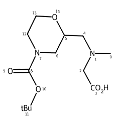 CN(CC(=O)O)CC1CN(C(=O)OC(C)(C)C)CCO1